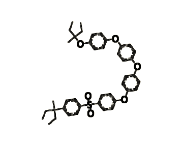 CCC(C)(CC)Oc1ccc(Oc2ccc(Oc3ccc(Oc4ccc(S(=O)(=O)c5ccc(C(C)(CC)CC)cc5)cc4)cc3)cc2)cc1